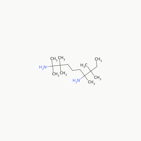 CCC(C)(C)C(C)(N)CCCC(C)(C)C(C)(C)N